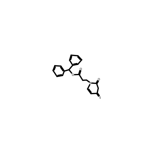 O=C(CCN1C=CC(=S)CC1=O)OC(c1ccccc1)c1ccccc1